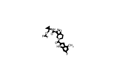 Cc1cc(F)cc2[nH]c(C(=O)N3CCc4onc(C(=O)NC5(COC(F)F)CC5)c4C3)cc12